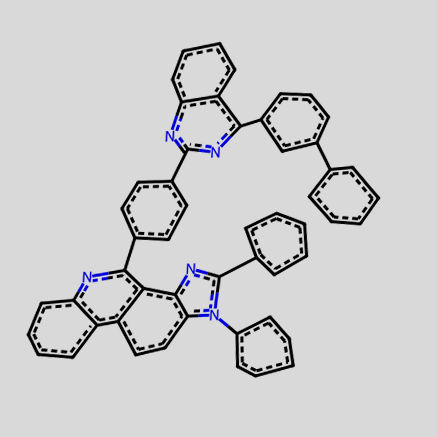 c1ccc(-c2cccc(-c3nc(-c4ccc(-c5nc6ccccc6c6ccc7c(nc(-c8ccccc8)n7-c7ccccc7)c56)cc4)nc4ccccc34)c2)cc1